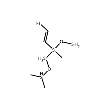 CCC=C[Si](C)(O[SiH3])[SiH2]O[SiH](C)C